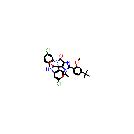 COc1cc(C(C)(C)C)ccc1-c1nc2c(n1C(C)C)[C@@]1(C(=O)Nc3cc(Cl)ccc31)N(c1cc(Cl)ccc1C)C2=O